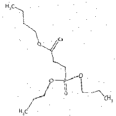 CCCCOC(=O)CCP(=O)(OCCC)OCCC